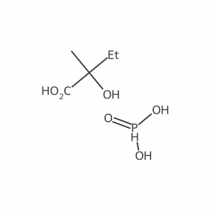 CCC(C)(O)C(=O)O.O=[PH](O)O